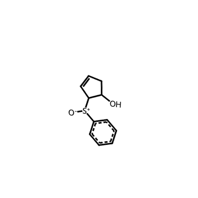 [O-][S+](c1ccccc1)C1C=CCC1O